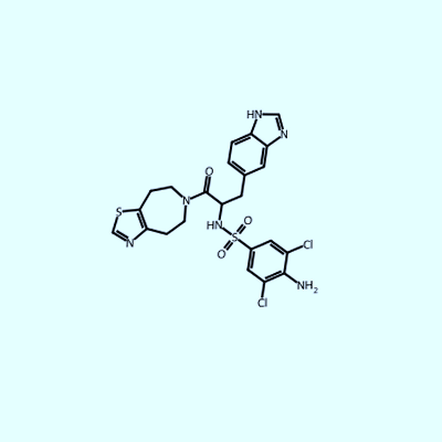 Nc1c(Cl)cc(S(=O)(=O)NC(Cc2ccc3[nH]cnc3c2)C(=O)N2CCc3ncsc3CC2)cc1Cl